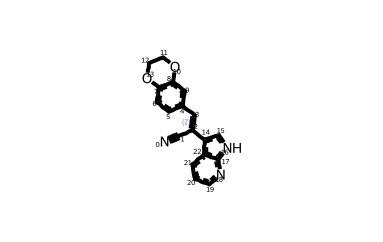 N#C/C(=C\c1ccc2c(c1)OCCO2)c1c[nH]c2ncccc12